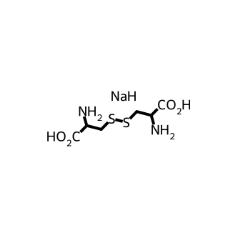 NC(CSSCC(N)C(=O)O)C(=O)O.[NaH]